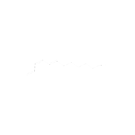 C=C/C=C\C=CCCCCCCCCCCCC